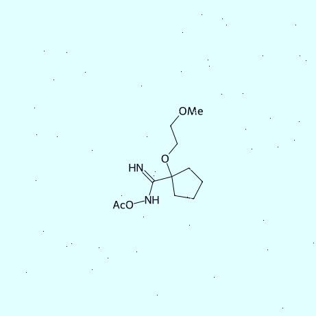 COCCOC1(C(=N)NOC(C)=O)CCCC1